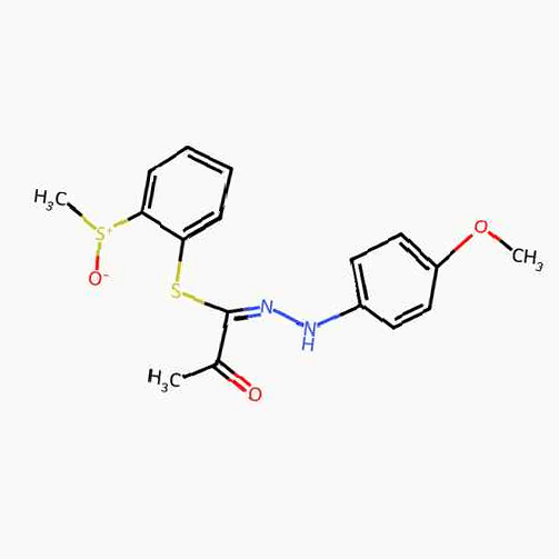 COc1ccc(N/N=C(/Sc2ccccc2[S+](C)[O-])C(C)=O)cc1